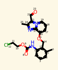 Cc1cccc(NC(=O)OCCCl)c1COc1cccn2c(C=O)c(C)nc12